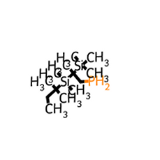 CCC(C)(C)[Si](C)(C)C(C)(CP)[Si](C)(C)C